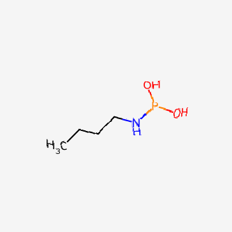 CCCCNP(O)O